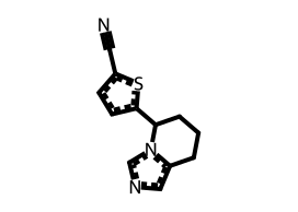 N#Cc1ccc(C2CCCc3cncn32)s1